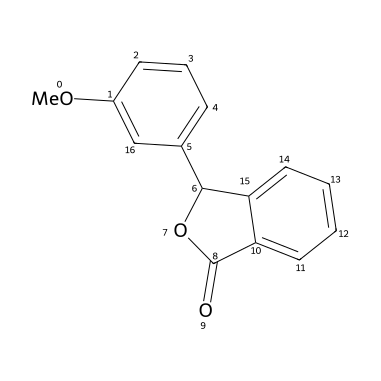 COc1cccc(C2OC(=O)c3ccccc32)c1